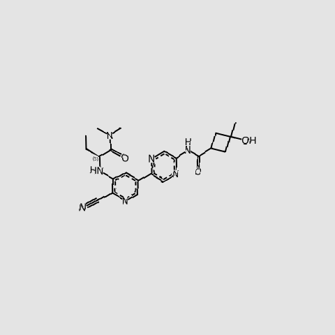 CC[C@H](Nc1cc(-c2cnc(NC(=O)C3CC(C)(O)C3)cn2)cnc1C#N)C(=O)N(C)C